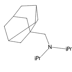 CC(C)N(CC12CC3CC(CC(C3)C1)C2)C(C)C